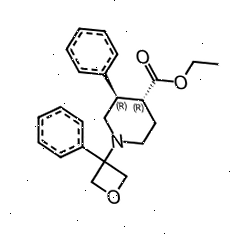 CCOC(=O)[C@@H]1CCN(C2(c3ccccc3)COC2)C[C@H]1c1ccccc1